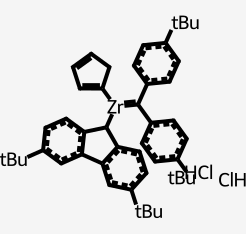 CC(C)(C)c1ccc([C](c2ccc(C(C)(C)C)cc2)=[Zr]([C]2=CC=CC2)[CH]2c3ccc(C(C)(C)C)cc3-c3cc(C(C)(C)C)ccc32)cc1.Cl.Cl